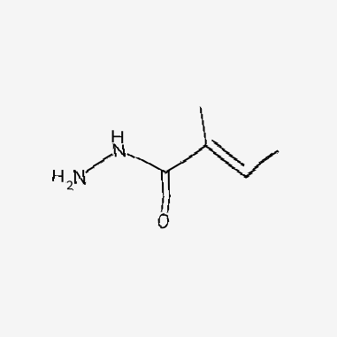 C/C=C(\C)C(=O)NN